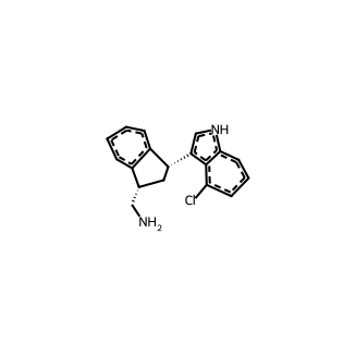 NC[C@H]1C[C@@H](c2c[nH]c3cccc(Cl)c23)c2ccccc21